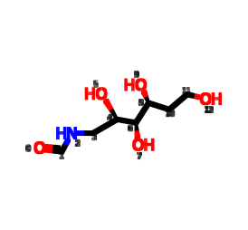 O=CNC[C@@H](O)[C@H](O)[C@@H](O)CCO